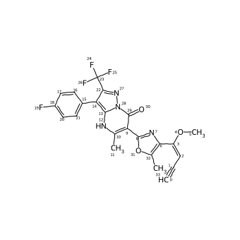 C#C/C=C(/OC)c1nc(-c2c(C)[nH]c3c(-c4ccc(F)cc4)c(C(F)(F)F)nn3c2=O)oc1C